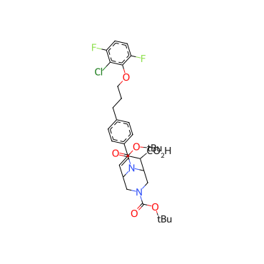 CC(C)(C)OC(=O)N1CC2C=C(c3ccc(CCCOc4c(F)ccc(F)c4Cl)cc3)C(C(=O)O)C(C1)N2C(=O)OC(C)(C)C